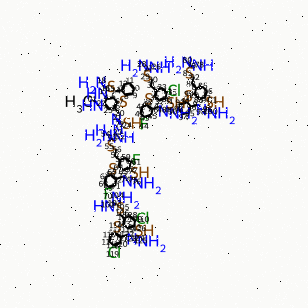 CCNc1ccc(Sc2ccccc2CSC(=N)N)c(CN=C(N)S)c1.N=C(N)SCCc1cc(Cl)ccc1Sc1ccc(F)cc1CN=C(N)S.N=C(N)SCCc1cc(F)ccc1Sc1ccc(F)cc1CN=C(N)S.N=C(N)SCCc1ccccc1Sc1ccccc1CN=C(N)S.N=C(N)SCc1cc(Cl)ccc1Sc1ccc(Cl)cc1CN=C(N)S